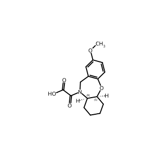 COc1ccc2c(c1)CN(C(=O)C(=O)O)[C@@H]1CCCC[C@@H]1O2